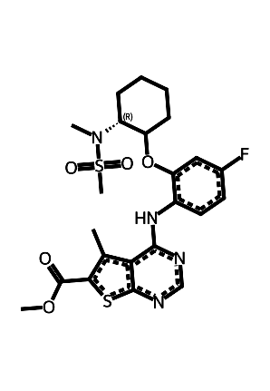 COC(=O)c1sc2ncnc(Nc3ccc(F)cc3OC3CCCC[C@H]3N(C)S(C)(=O)=O)c2c1C